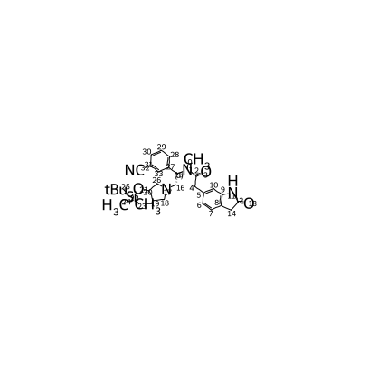 CN(C(=O)Cc1ccc2c(c1)NC(=O)C2)[C@H](CN1CCC(O[Si](C)(C)C(C)(C)C)C1)c1cccc(C#N)c1